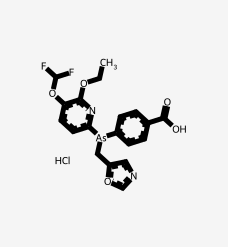 CCOc1nc([As](Cc2cnco2)c2ccc(C(=O)O)cc2)ccc1OC(F)F.Cl